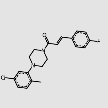 Cc1ccc(Cl)cc1N1CCN(C(=O)C=Cc2ccc(F)cc2)CC1